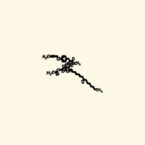 CC#CCOc1ccc(C[C@H](NC(=O)[C@@H](C=CCCCCCCC(=O)CCCCCCC)[C@@](O)(CCOC(C)=O)C(=O)O)C(=O)NC)cc1